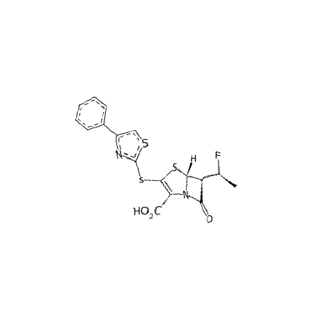 C[C@H](F)[C@H]1C(=O)N2C(C(=O)O)=C(Sc3nc(-c4ccccc4)cs3)S[C@H]12